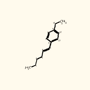 CCCCC=Cc1ccc(CC)cc1